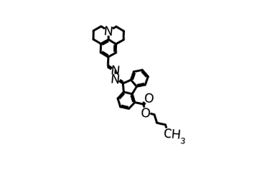 CCCCOC(=O)c1cccc2c1-c1ccccc1C2=NN=Cc1cc2c3c(c1)CCCN3CCC2